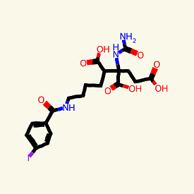 NC(=O)NC(CCC(=O)O)(C(=O)O)C(CCCCNC(=O)c1ccc(I)cc1)C(=O)O